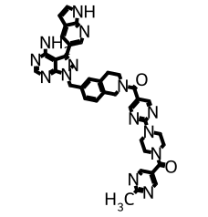 Cc1ncc(C(=O)N2CCN(c3ncc(C(=O)N4CCc5cc(Cn6nc(-c7cnc8[nH]ccc8c7)c7c(N)ncnc76)ccc5C4)cn3)CC2)cn1